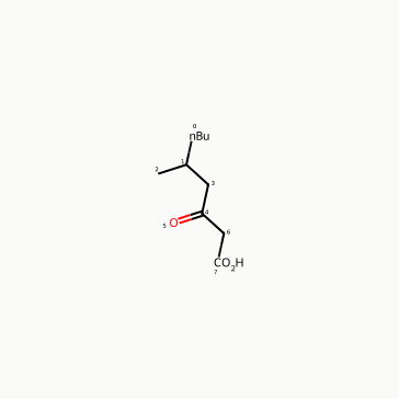 CCCCC(C)CC(=O)CC(=O)O